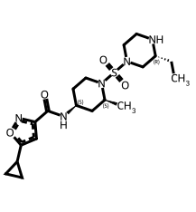 CC[C@@H]1CN(S(=O)(=O)N2CC[C@H](NC(=O)c3cc(C4CC4)on3)C[C@@H]2C)CCN1